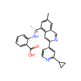 Cc1cc([C@@H](C)Nc2ccccc2C(=O)O)c2cc(-c3ccnc(C4CC4)c3)ncc2c1